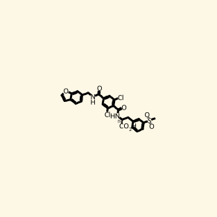 CS(=O)(=O)c1cccc(C[C@H](NC(=O)c2c(Cl)cc(C(=O)NCc3ccc4ccoc4c3)cc2Cl)C(=O)O)c1